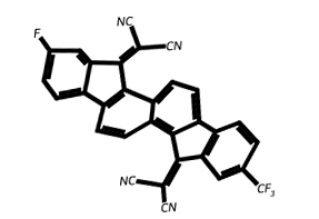 N#CC(C#N)=C1c2cc(F)ccc2-c2ccc3c4c(ccc3c21)-c1ccc(C(F)(F)F)cc1C4=C(C#N)C#N